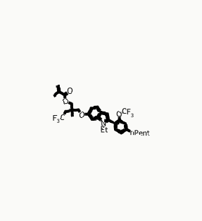 C=C(C)C(=O)OCC(C)(COc1ccc2cc(-c3ccc(CCCCC)cc3OC(F)(F)F)n(CC)c2c1)CC(F)(F)F